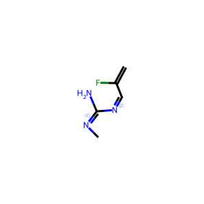 C=C(F)/C=N\C(N)=N/C